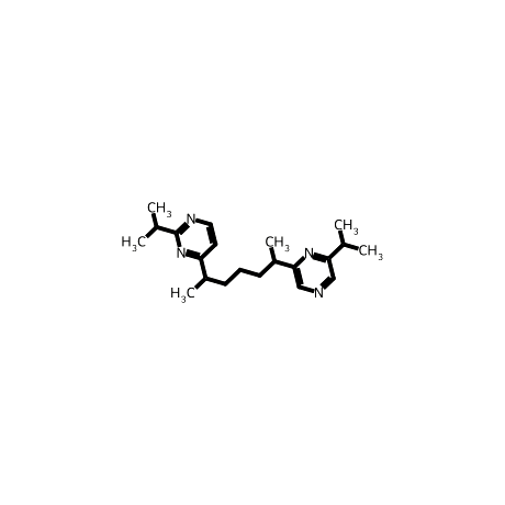 CC(C)c1cncc(C(C)CCCC(C)c2ccnc(C(C)C)n2)n1